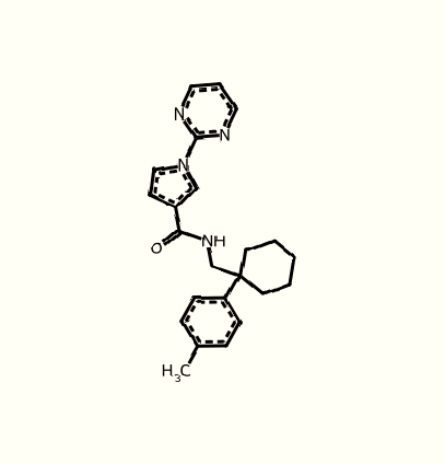 Cc1ccc(C2(CNC(=O)c3ccn(-c4ncccn4)c3)CCCCC2)cc1